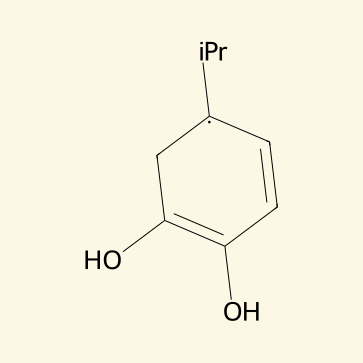 CC(C)[C]1C=CC(O)=C(O)C1